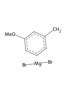 [Br][Mg][Br].[CH2]c1cccc(OC)c1